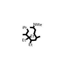 CCC(CC(C)CCC(C)NC)C(CC)(CC)C(C)CC(C)C